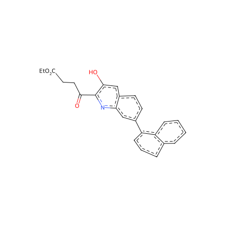 CCOC(=O)CCC(=O)c1nc2cc(-c3cccc4ccccc34)ccc2cc1O